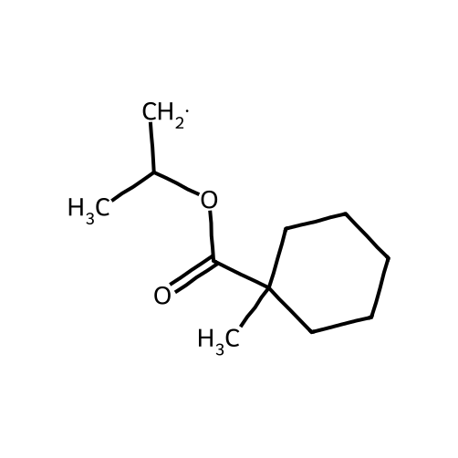 [CH2]C(C)OC(=O)C1(C)CCCCC1